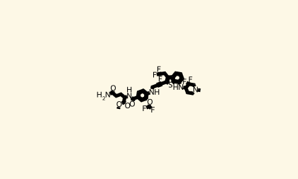 COC(=O)C(CCC(N)=O)NC(=O)c1ccc(NCC#Cc2sc3c(NC4CCN(C)CC4(F)F)cccc3c2CC(F)(F)F)c(OC(F)F)c1